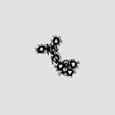 CC1(C)c2ccccc2P(=O)(c2ccccc2)c2cc(-c3ccc(-c4nc(-c5ccccc5)nc(-c5ccccc5)n4)cn3)ccc21